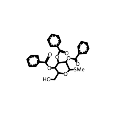 CSC1OC(CO)C(OC(=O)c2ccccc2)C(OC(=O)c2ccccc2)C1OC(=O)c1ccccc1